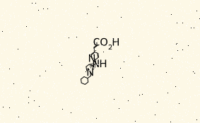 O=C(O)C=Cc1ccc(N[C@@H]2CCCN(CC3CCCCC3)C2)nc1